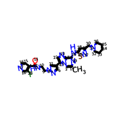 Cc1cn2c(-c3cnn(CCNC(=O)c4ccncc4F)c3)cnc2c(Nc2cc(CN3CCCCC3)ns2)n1